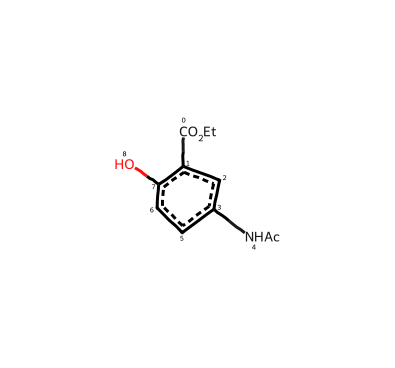 CCOC(=O)c1cc(NC(C)=O)ccc1O